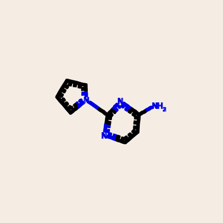 Nc1ccnc(-n2cccc2)n1